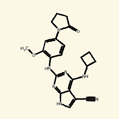 COc1cc(N2CCCC2=O)ccc1Nc1nc(NC2CCC2)c2c(C#N)c[nH]c2n1